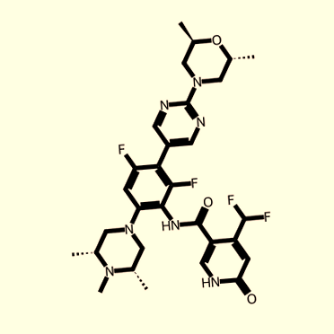 C[C@@H]1CN(c2ncc(-c3c(F)cc(N4C[C@@H](C)N(C)[C@@H](C)C4)c(NC(=O)c4c[nH]c(=O)cc4C(F)F)c3F)cn2)C[C@@H](C)O1